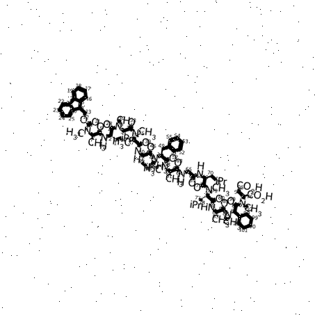 CC(C)C[C@H](NC(=O)[C@H](C)N(C)C(=O)OCC1c2ccccc2-c2ccccc21)C(=O)N(C)CC(=O)N(C)[C@@H](C)C(=O)N[C@@H](CC(C)C)C(=O)N(C)[C@@H](Cc1ccccc1)C(=O)N(C)[C@@H](C)C(=O)NCC(=O)N[C@@H](CC(C)C)C(=O)N(C)[C@@H](CC(C)C)C(=O)N[C@@H](C)C(=O)N(C)[C@H](C(=O)N(C)[C@@H](CC(=O)O)C(=O)O)C1CCCCC1